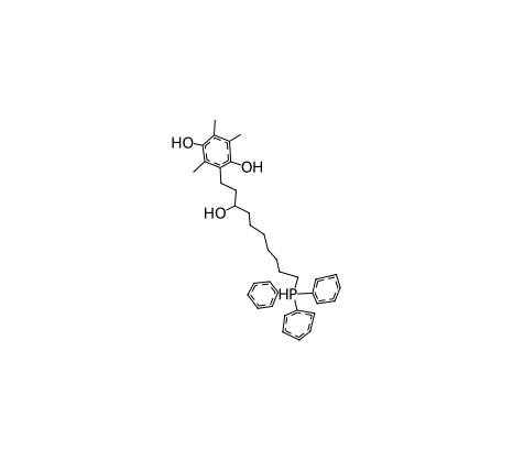 Cc1c(C)c(O)c(CCC(O)CCCCCCC[PH](c2ccccc2)(c2ccccc2)c2ccccc2)c(C)c1O